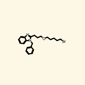 BrCCCCCOCCCc1nc2ccccc2n1Cc1ccccc1